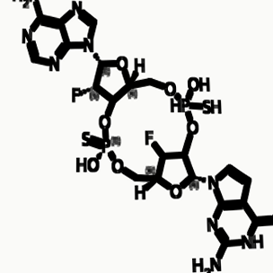 Nc1nc2c(ccn2[C@@H]2O[C@@H]3CO[P@@](O)(=S)OC4[C@@H](CO[PH](O)(S)OC2C3F)O[C@@H](n2cnc3c(N)ncnc32)[C@H]4F)c(=O)[nH]1